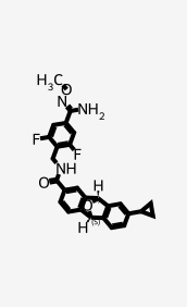 CON=C(N)c1cc(F)c(CNC(=O)c2ccc3c(c2)[C@@H]2O[C@H]3c3ccc(C4CC4)cc32)c(F)c1